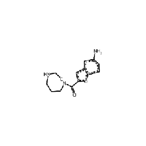 Nc1ccc2oc(C(=O)N3CCCNCC3)cc2c1